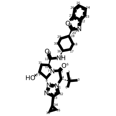 CC(C)(C)[C@@H](C(=O)N1C[C@H](O)C[C@H]1C(=O)N[C@H]1CC[C@H](c2nc3ccccc3o2)CC1)n1cc(C2CC2)nn1